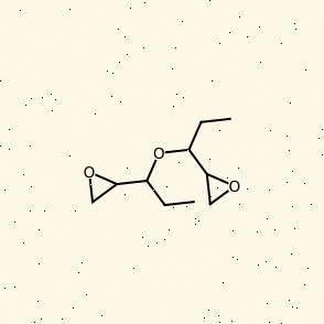 CCC(OC(CC)C1CO1)C1CO1